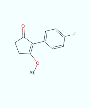 CCOC1=C(c2ccc(F)cc2)C(=O)CC1